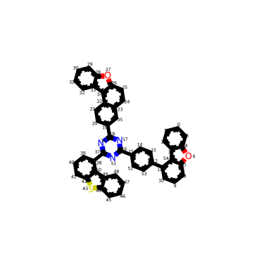 c1ccc2c(c1)oc1cccc(-c3ccc(-c4nc(-c5ccc6c(ccc7oc8ccccc8c76)c5)nc(-c5cccc6sc7ccccc7c56)n4)cc3)c12